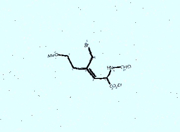 CCOC(=O)C(/C=C(\CBr)CCOC)NC=O